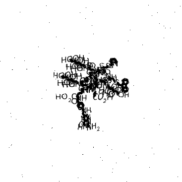 Nc1nc2ncc(CNc3ccc(C(=O)N[C@@H](CCC(=O)N[C@@H](CCC(=O)NC[C@H](O)[C@@H](O)[C@H](O)[C@H](O)CO)C(=O)N[C@@H](CCC(=O)O)C(=O)N[C@@H](CCC(=O)NC[C@H](O)[C@@H](O)[C@H](O)[C@H](O)CO)C(=O)N[C@@H](CCC(=O)O)C(=O)N[C@@H](CCC(=O)NC[C@H](O)[C@@H](O)[C@H](O)[C@H](O)CO)C(=O)N[C@@H](CNC(=O)CCSCC4c5ccccc5-c5ccccc54)C(=O)N[C@@H](CSSc4ccccn4)C(=O)O)C(=O)O)cc3)nc2c(=O)[nH]1